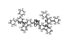 c1ccc(-c2cc(-c3ccccc3)nc(-n3c4ccccc4c4cc(-c5nnc(-c6ccc7c8ccccc8n(-c8cc(-c9ccccc9)cc(-c9ccccc9)n8)c7c6)o5)ccc43)c2)cc1